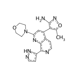 Cc1onc(N)c1-c1cc(N2CCOCC2)nc2c(-c3ccn[nH]3)nccc12